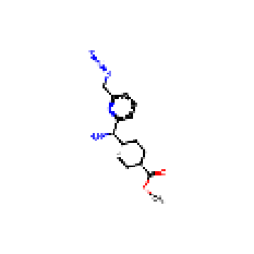 COC(=O)[C@H]1CC[C@H]([C@@H](N)c2cccc(CN=[N+]=[N-])n2)CC1